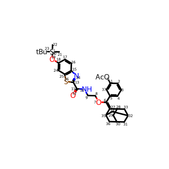 CC(=O)Oc1cccc(C(OCCNC(=O)c2nc3ccc(O[Si](C)(C)C(C)(C)C)cc3s2)=C2C3CC4CC(C3)CC2C4)c1